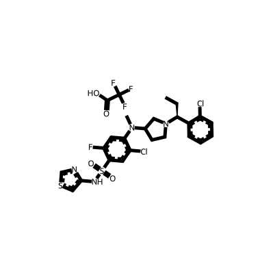 CC[C@@H](c1ccccc1Cl)N1CCC(N(C)c2cc(F)c(S(=O)(=O)Nc3cscn3)cc2Cl)C1.O=C(O)C(F)(F)F